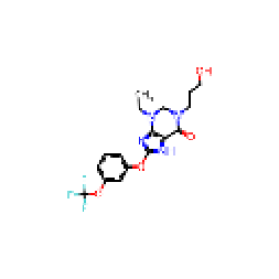 CCN1CN(CCCO)C(=O)c2[nH]c(Oc3cccc(OC(F)(F)F)c3)nc21